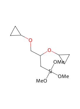 CO[Si](CC(COC1CC1)OC1CC1)(OC)OC